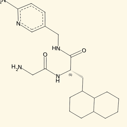 NCC(=O)N[C@@H](CC1CCCC2CCCCC21)C(=O)NCc1ccc(N)nc1